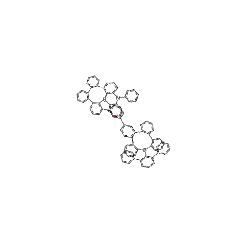 c1ccc(-c2cccc(-c3ccccc3)c2B2c3ccccc3-c3ccccc3-c3cc(-c4cccc(-c5cccc6c5B5c7ccccc7N(c7ccccc7)c7cccc(c75)-c5ccccc5-c5ccccc5-6)c4)ccc3-c3ccccc32)cc1